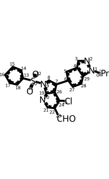 CC(C)n1ncc2cc(-c3cn(S(=O)(=O)c4ccccc4)c4ncc(C=O)c(Cl)c34)ccc21